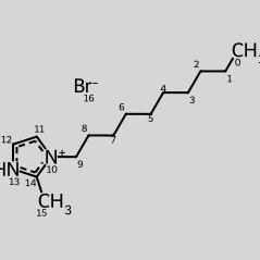 CCCCCCCCCC[n+]1cc[nH]c1C.[Br-]